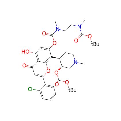 CN1CC[C@H](c2c(OC(=O)N(C)CCN(C)C(=O)OC(C)(C)C)cc(O)c3c(=O)cc(-c4ccccc4Cl)oc23)[C@H](OC(=O)OC(C)(C)C)C1